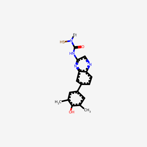 CCN(S)C(=O)Nc1cnc2ccc(-c3cc(C)c(O)c(C)c3)cc2n1